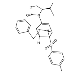 Cc1ccc(S(=O)(=O)N2C3C=C(N4C(=O)OC[C@H]4C(C)C)C(CC3)[C@@H]2Cc2ccccc2)cc1